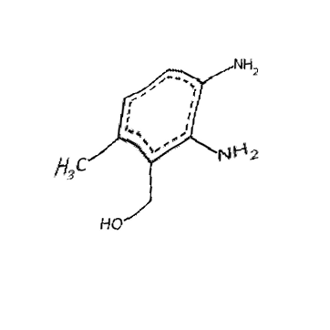 Cc1ccc(N)c(N)c1CO